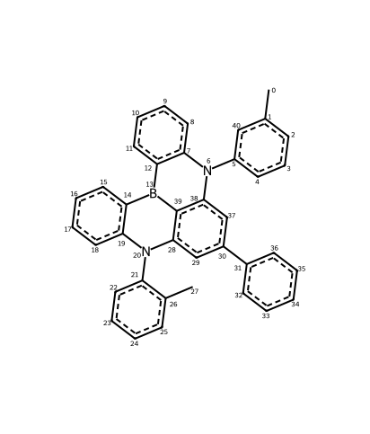 Cc1cccc(N2c3ccccc3B3c4ccccc4N(c4ccccc4C)c4cc(-c5ccccc5)cc2c43)c1